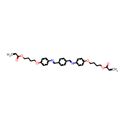 C=CC(=O)OCCCCOc1ccc(N=Cc2ccc(C=Nc3ccc(OCCCCOC(=O)C=C)cc3)cc2)cc1